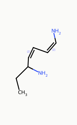 CCC(N)/C=C\C=C/N